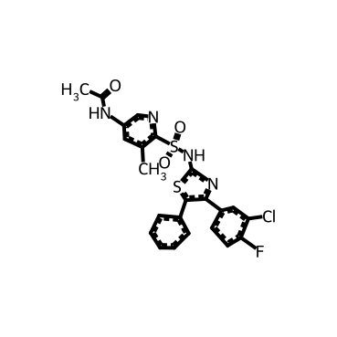 CC(=O)Nc1cnc(S(=O)(=O)Nc2nc(-c3ccc(F)c(Cl)c3)c(-c3ccccc3)s2)c(C)c1